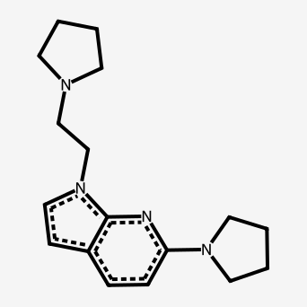 c1cc2ccn(CCN3CCCC3)c2nc1N1CCCC1